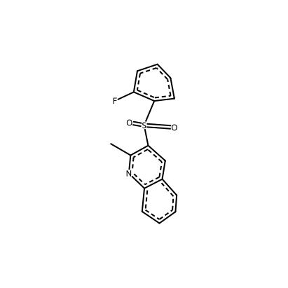 Cc1nc2ccccc2cc1S(=O)(=O)c1ccccc1F